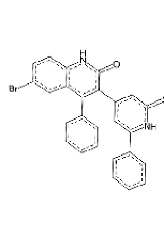 O=c1[nH]c2ccc(Br)cc2c(-c2ccccc2)c1-c1cc(-c2ccccc2)[nH]c(=S)c1